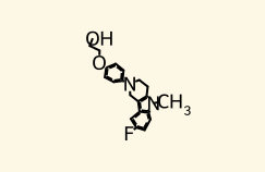 Cn1c2c(c3cc(F)ccc31)CN(c1ccc(OCCO)cc1)CC2